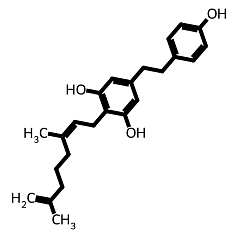 C=C(C)CCC/C(C)=C\Cc1c(O)cc(CCc2ccc(O)cc2)cc1O